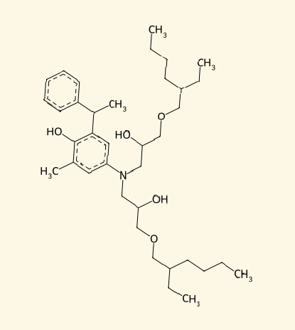 CCCCC(CC)COCC(O)CN(CC(O)COCC(CC)CCCC)c1cc(C)c(O)c(C(C)c2ccccc2)c1